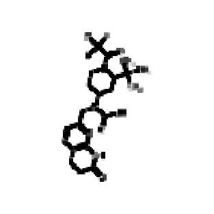 CC(C)(C)C1CC(N(Cc2ccc3c(n2)NC(=O)CC3)C(=O)O)CCN1C(=O)C(F)(F)F